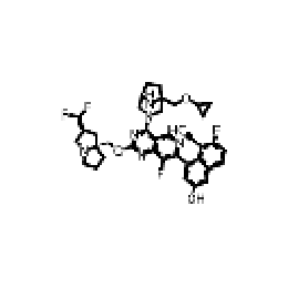 C#Cc1c(F)ccc2cc(O)cc(-c3ncc4c(N5CC6CCC(COC7CC7)(C5)N6)nc(OC[C@@]56CCCN5CC(=C(F)F)C6)nc4c3F)c12